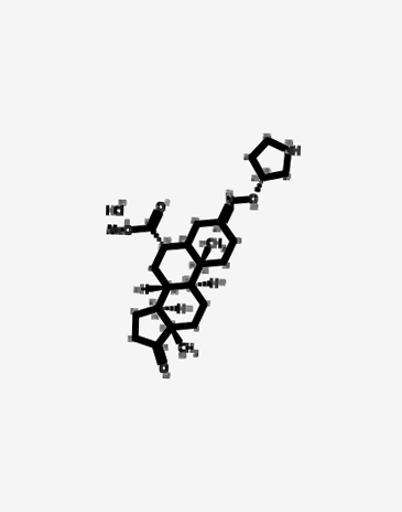 COC(=O)[C@H]1C[C@@H]2[C@H](CC[C@]3(C)C(=O)CC[C@@H]23)[C@@]2(C)CCC(=NO[C@@H]3CCNC3)CC12.Cl